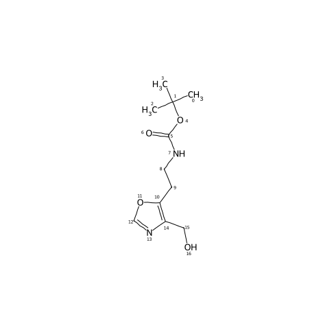 CC(C)(C)OC(=O)NCCc1ocnc1CO